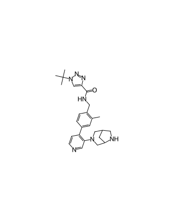 Cc1cc(-c2ccncc2N2CC3CNC(C3)C2)ccc1CNC(=O)c1cn(C(C)(C)C)nn1